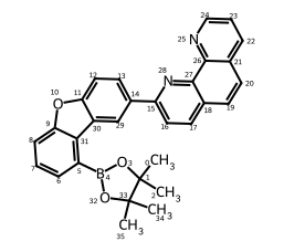 CC1(C)OB(c2cccc3oc4ccc(-c5ccc6ccc7cccnc7c6n5)cc4c23)OC1(C)C